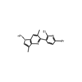 CCCn1cc(C)c2nc(-c3ccc(C(C)C)nc3CC)c(C)cc21